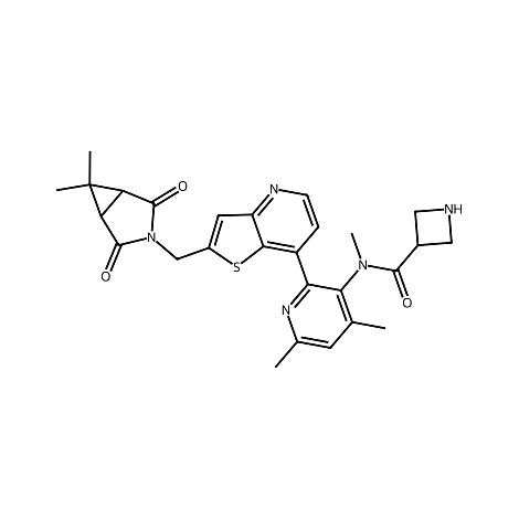 Cc1cc(C)c(N(C)C(=O)C2CNC2)c(-c2ccnc3cc(CN4C(=O)C5C(C4=O)C5(C)C)sc23)n1